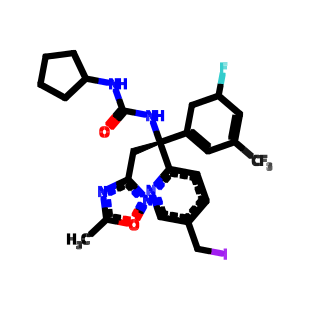 Cc1nc(C[C@@](NC(=O)NC2CCCC2)(C2=CC(C(F)(F)F)=CC(F)C2)c2ccc(CI)cn2)no1